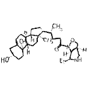 CC[C@@H]1NC[C@@H]2CON(C(=O)CC[C@@H](C)[C@H]3CC[C@H]4[C@@H]5CC=C6C[C@@H](O)CC[C@]6(C)[C@H]5CC[C@]34C)[C@@H]21